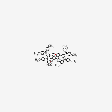 Cc1ccc(N(c2ccc(C)cc2)c2cc(-c3cccc4c3-c3ccccc3CC43c4ccccc4-c4c(-c5cc(N(c6ccc(C)cc6)c6ccc(C)cc6)cc(N(c6ccc(C)cc6)c6ccc(C)cc6)c5)cccc43)cc(N(c3ccc(C)cc3)c3ccc(C)cc3)c2)cc1